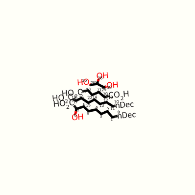 CCCCCCCCCCCCCCCCC(O)C(=O)O.CCCCCCCCCCCCCCCCCC(=O)O.O=C(O)CCCCC(=O)O.OCC(O)CO